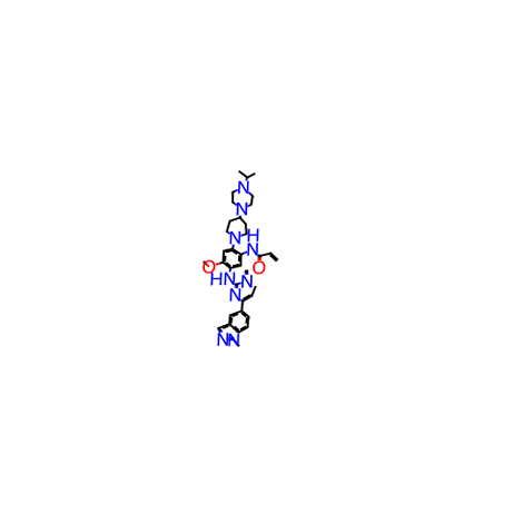 C=CC(=O)Nc1cc(N/C(N=C)=N/C(=C\C)c2ccc3c(cnn3C)c2)c(OC)cc1N1CCC(N2CCN(C(C)C)CC2)CC1